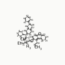 C=c1cccc/c1=C(/C(=C/C=C\CC)CC(C)Oc1ccc2oc3ccccc3c2c1/C=C/C)c1ccc2ccc(-c3ccccc3)cc2c1